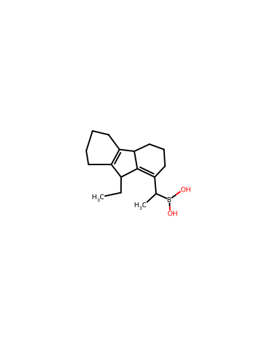 CCC1C2=C(CCCC2)C2CCCC(C(C)B(O)O)=C12